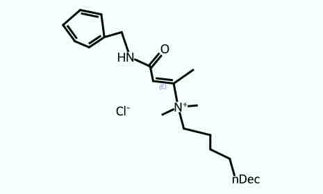 CCCCCCCCCCCCCC[N+](C)(C)/C(C)=C/C(=O)NCc1ccccc1.[Cl-]